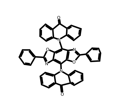 O=c1c2ccccc2n(-c2c3nc(-c4ccccc4)oc3c(-n3c4ccccc4c(=O)c4ccccc43)c3nc(-c4ccccc4)oc23)c2ccccc12